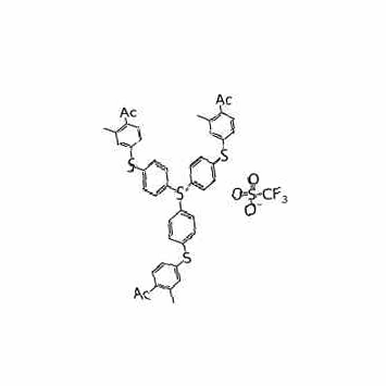 CC(=O)c1ccc(Sc2ccc([S+](c3ccc(Sc4ccc(C(C)=O)c(C)c4)cc3)c3ccc(Sc4ccc(C(C)=O)c(C)c4)cc3)cc2)cc1C.O=S(=O)([O-])C(F)(F)F